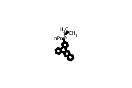 CCC/C(=N\C=C(C)C)c1ccc2c(c1)c1ccccc1c1cc3ccccc3cc21